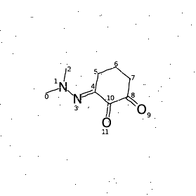 CN(C)N=C1CCCC(=O)C1=O